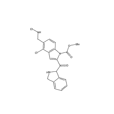 CCNCc1ccc2c(cc(C(=O)C3NCc4ccccc43)n2C(=O)OC(C)(C)C)c1Cl